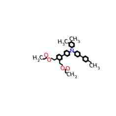 C=CC(=O)OCCc1ccc(-c2ccc(N(c3ccc(-c4ccc(CC)cc4)cc3)c3ccc(C)c(C)c3)cc2)cc1CCOC(=O)C=C